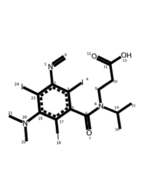 C=Nc1c(I)c(C(=O)N(CCC(=O)O)C(C)C)c(I)c(N(C)C)c1I